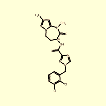 CN1C(=O)[C@@H](NC(=O)c2ncn(Cc3cccc(Cl)c3Cl)n2)CCn2nc(C(F)(F)F)cc21